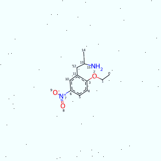 CCOc1ccc([N+](=O)[O-])cc1CC(C)N